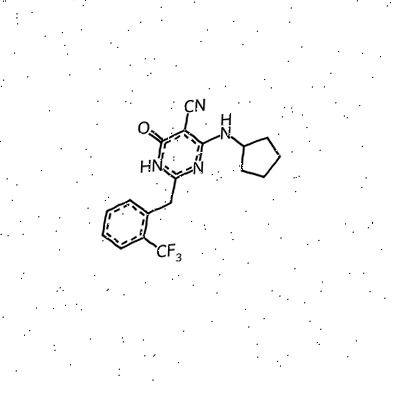 N#Cc1c(NC2CCCC2)nc(Cc2ccccc2C(F)(F)F)[nH]c1=O